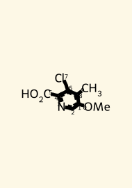 COc1cnc(C(=O)O)c(Cl)c1C